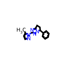 Cc1ccnn1-c1nc2n(n1)C(c1ccccc1)CC2